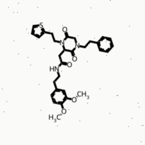 COc1ccc(CCNC(=O)CC2C(=O)N(CCc3ccccc3)CC(=O)N2CCc2cccs2)cc1OC